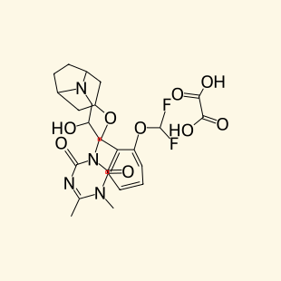 Cc1nc(=O)n(CC(O)CN2C3CCC2CC(OCc2ccccc2OC(F)F)C3)c(=O)n1C.O=C(O)C(=O)O